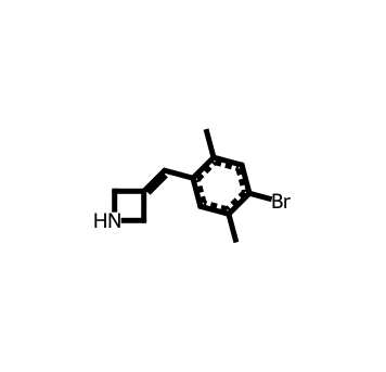 Cc1cc(C=C2CNC2)c(C)cc1Br